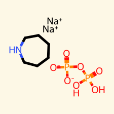 C1CCCNCC1.O=P([O-])([O-])OP(=O)(O)O.[Na+].[Na+]